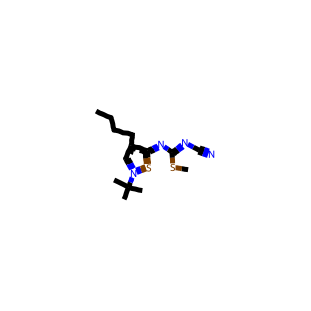 CCCCc1cn(C(C)(C)C)s/c1=N\C(=N\C#N)SC